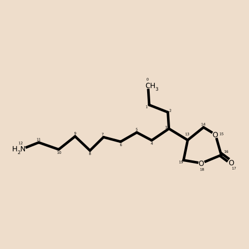 CCCC(CCCCCCCCN)C1COC(=O)OC1